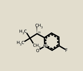 C[C@H](c1ccc(F)c[n+]1[O-])C(C)(C)C